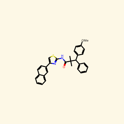 COc1ccc(C(c2ccccc2)C(C)(C)C(=O)Nc2nc(-c3ccc4ccccc4c3)cs2)cc1